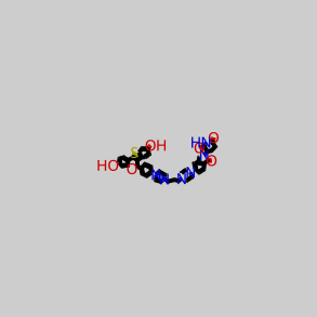 O=C1CCC(N2Cc3cc(N4CCN(CCCN5CCN(c6ccc(C(=O)c7c(-c8ccc(O)cc8)sc8cc(O)ccc78)cc6)CC5)CC4)ccc3C2=O)C(=O)N1